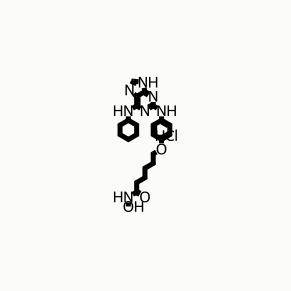 Cl.O=C(CCCCCOc1ccc(Nc2nc(NC3CCCCC3)c3nc[nH]c3n2)cc1)NO